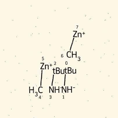 CC(C)(C)[NH-].CC(C)(C)[NH-].[CH3][Zn+].[CH3][Zn+]